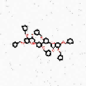 O=C(C=Cc1ccc(OCc2ccccc2)c(-c2cc(C=CC(=O)c3c(O)cc(OCc4ccccc4)cc3OCc3ccccc3)ccc2OCc2ccccc2)c1)c1c(O)cc(OCc2ccccc2)cc1OCc1ccccc1